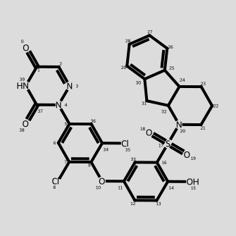 O=c1cnn(-c2cc(Cl)c(Oc3ccc(O)c(S(=O)(=O)N4CCCC5c6ccccc6CC54)c3)c(Cl)c2)c(=O)[nH]1